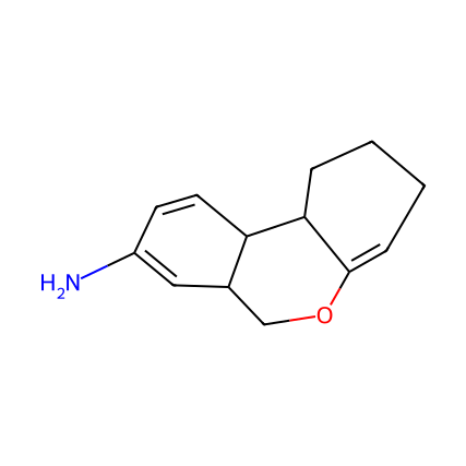 NC1=CC2COC3=CCCCC3C2C=C1